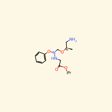 CC(C)OC(=O)CNN(CO[C@H](C)CN)Oc1ccccc1